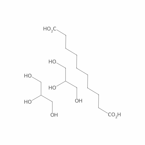 O=C(O)CCCCCCCCC(=O)O.OCC(O)CO.OCC(O)CO